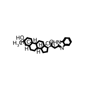 C[C@@]1(O)CC[C@@]2(C)[C@@H](CC[C@@H]3[C@@H]2CC[C@]2(C)[C@@H](C(=O)Cc4nc5ccccc5[nH]4)CC[C@@H]32)C1